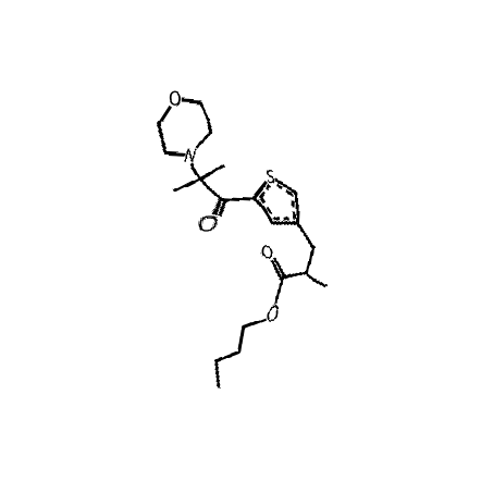 CCCCOC(=O)C(C)Cc1csc(C(=O)C(C)(C)N2CCOCC2)c1